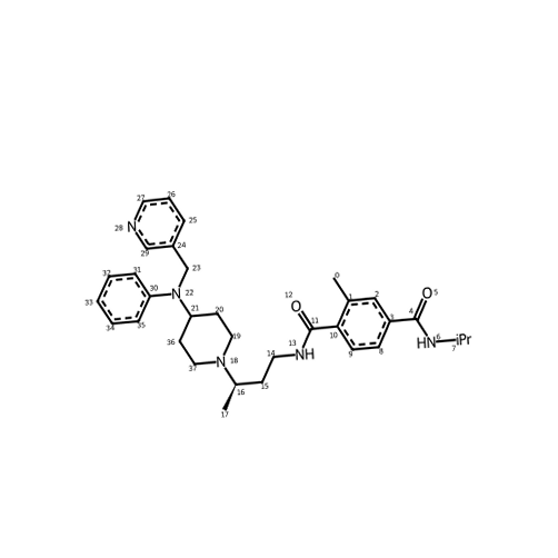 Cc1cc(C(=O)NC(C)C)ccc1C(=O)NCC[C@@H](C)N1CCC(N(Cc2cccnc2)c2ccccc2)CC1